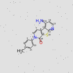 Cc1ccc(-n2ccc3c(sc4nccc(N)c43)c2=O)cc1